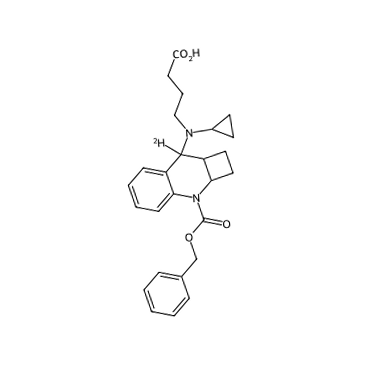 [2H]C1(N(CCCC(=O)O)C2CC2)c2ccccc2N(C(=O)OCc2ccccc2)C2CCC21